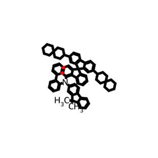 CC1(C)c2ccccc2-c2ccc(N(c3ccccc3-c3ccccc3)c3cccc4c3-c3ccccc3C43c4cc(C5CCC6(CCCCC6)CC5)ccc4-c4ccc(C5CCC6(CCCCC6)CC5)cc43)cc21